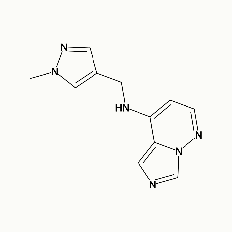 Cn1cc(CNc2ccnn3cncc23)cn1